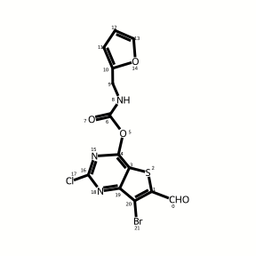 O=Cc1sc2c(OC(=O)NCc3ccco3)nc(Cl)nc2c1Br